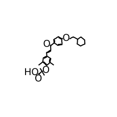 Cc1cc(/C=C/C(=O)c2ccc(OCCC3CCCCC3)cc2)cc(C)c1OC(C)(C)C(=O)O